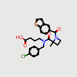 CC1(C(=O)N(CCCC(=O)O)Cc2ccc(Cl)cc2)CCN1C(=O)c1ccc2sccc2c1